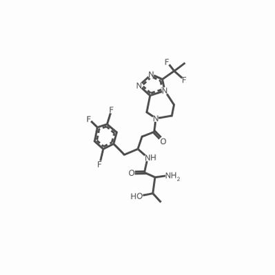 CC(O)C(N)C(=O)NC(CC(=O)N1CCn2c(nnc2C(C)(F)F)C1)Cc1cc(F)c(F)cc1F